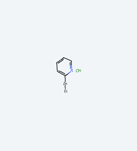 C[CH2][Zn][c]1ccccn1.Cl